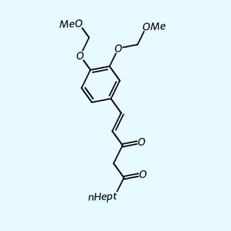 CCCCCCCC(=O)CC(=O)/C=C/c1ccc(OCOC)c(OCOC)c1